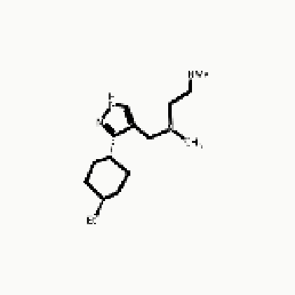 CC[C@H]1CC[C@H](c2n[nH]cc2CN(C)CCNC)CC1